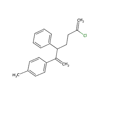 C=C(Cl)CCC(C(=C)c1ccc(C)cc1)c1ccccc1